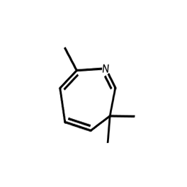 CC1=CC=CC(C)(C)C=N1